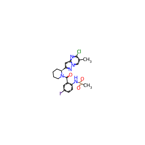 Cc1cn2nc([C@@H]3CCCCN3C(=O)c3cc(I)ccc3NS(C)(=O)=O)cc2nc1Cl